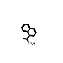 CC(C(=O)O)c1cccc2cc[c]cc12